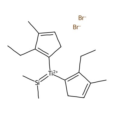 CCC1=[C]([Ti+2]([C]2=C(CC)C(C)=CC2)=[Si](C)C)CC=C1C.[Br-].[Br-]